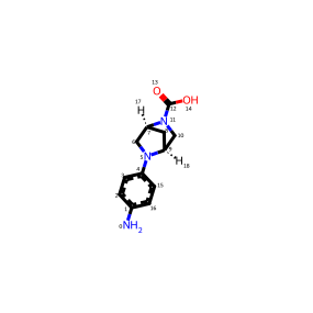 Nc1ccc(N2C[C@@H]3C[C@H]2CN3C(=O)O)cc1